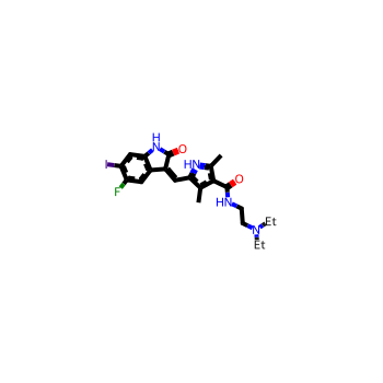 CCN(CC)CCNC(=O)c1c(C)[nH]c(/C=C2\C(=O)Nc3cc(I)c(F)cc32)c1C